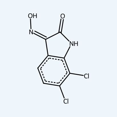 O=C1Nc2c(ccc(Cl)c2Cl)C1=NO